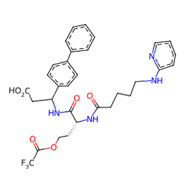 O=C(O)CC(NC(=O)[C@@H](CCOC(=O)C(F)(F)F)NC(=O)CCCCNc1ccccn1)c1ccc(-c2ccccc2)cc1